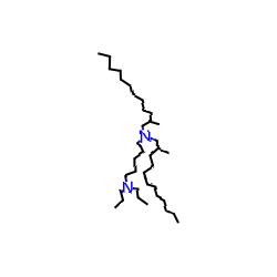 CCCCCCCCCCC(C)CN(CCCCCN(CCC)CCC)CC(C)CCCCCCCCCC